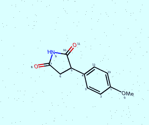 COc1ccc(C2CC(=O)NC2=O)cc1